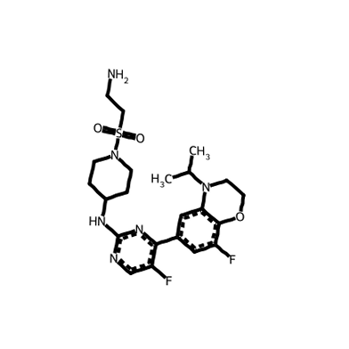 CC(C)N1CCOc2c(F)cc(-c3nc(NC4CCN(S(=O)(=O)CCN)CC4)ncc3F)cc21